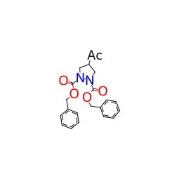 CC(=O)C1CN(C(=O)OCc2ccccc2)N(C(=O)OCc2ccccc2)C1